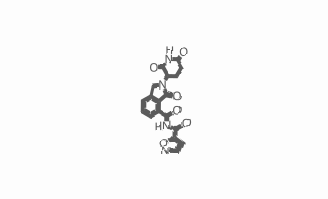 O=C1CCC(N2Cc3cccc(C(=O)NC(=O)c4ccno4)c3C2=O)C(=O)N1